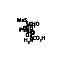 CSCC[C@H](NC=O)C(=O)N[C@@H](CC(C)C)C(=O)c1ccccc1C[C@H](N)C(=O)O